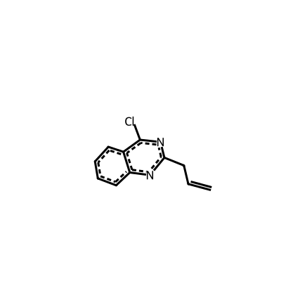 C=CCc1nc(Cl)c2ccccc2n1